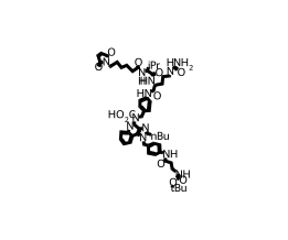 CCCCc1nc2c(N(Cc3ccc(NC(=O)C(CCCNC(N)=O)NC(=O)C(NC(=O)CCCCCN4C(=O)C=CC4=O)C(C)C)cc3)C(=O)O)nc3ccccc3c2n1Cc1ccc(NC(=O)CCNC(=O)OC(C)(C)C)cc1